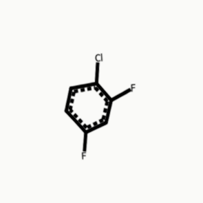 Fc1ccc(Cl)c(F)c1